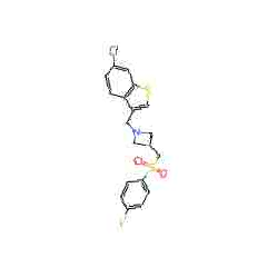 O=S(=O)(CC1CN(Cc2csc3cc(Cl)ccc23)C1)c1ccc(F)cc1